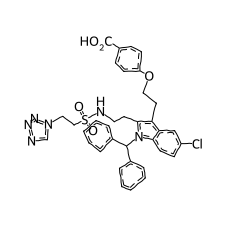 O=C(O)c1ccc(OCCc2c(CCNS(=O)(=O)CCn3cnnn3)n(C(c3ccccc3)c3ccccc3)c3ccc(Cl)cc23)cc1